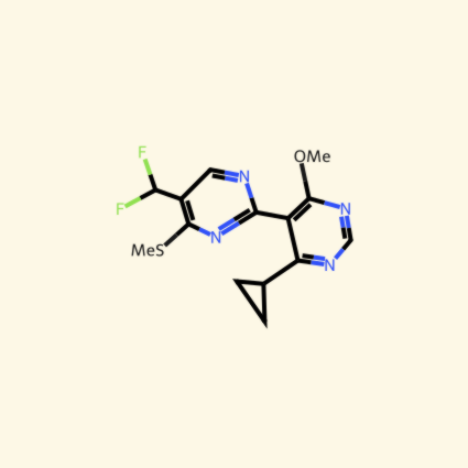 COc1ncnc(C2CC2)c1-c1ncc(C(F)F)c(SC)n1